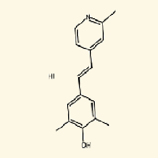 Cc1cc(C=Cc2cc(C)c(O)c(C)c2)ccn1.I